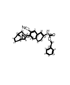 N#Cc1cc2c(cc1N1CC3CCC(C1)N3C(=O)O)CCC(NC(=O)OCc1ccccc1)C2